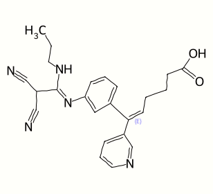 CCCNC(=Nc1cccc(/C(=C\CCCC(=O)O)c2cccnc2)c1)C(C#N)C#N